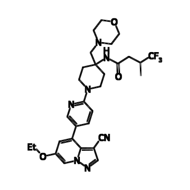 CCOc1cc(-c2ccc(N3CCC(CN4CCOCC4)(NC(=O)CC(C)C(F)(F)F)CC3)nc2)c2c(C#N)cnn2c1